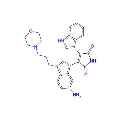 Nc1ccc2c(c1)c(C1=C(c3c[nH]c4ccccc34)C(=O)NC1=O)cn2CCCN1CCOCC1